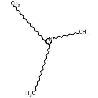 CCCCCCCCCCCCCCCCCCc1cc(CCCCCCCCCCCCCCCCCC)c[n+](CCCCCCCCCCC)c1